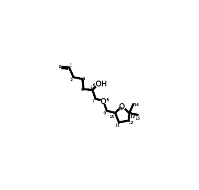 C=CCCCC(O)COCC1CCC(C)(C)O1